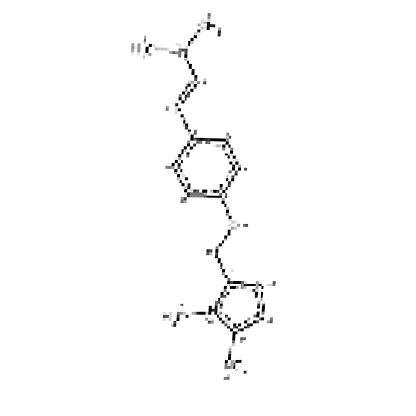 CN(C)C=Nc1ccc(OCc2ncc([N+](=O)[O-])n2C)cc1